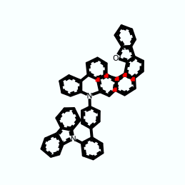 c1ccc(-c2cccc(-c3ccccc3N(c3ccc(-c4ccccc4-n4c5ccccc5c5ccccc54)cc3)c3ccc(-c4cccc5c4oc4ccccc45)cc3)c2)cc1